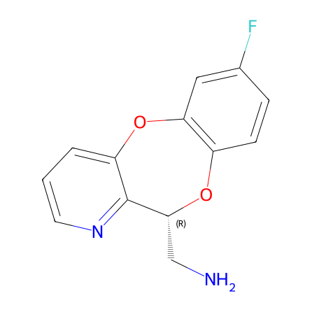 NC[C@H]1Oc2ccc(F)cc2Oc2cccnc21